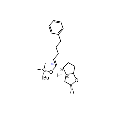 CC(C)(C)[Si](C)(C)O/C(=C/CCCc1ccccc1)[C@@H]1CCC2OC(=O)C[C@H]21